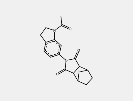 CC(=O)N1CCc2ccc(N3C(=O)C4C5CCC(O5)C4C3=O)cc21